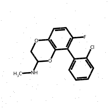 CNC1COc2ccc(F)c(-c3ccccc3Cl)c2O1